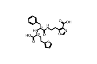 O=C(O)c1ncoc1CCNC(=O)[C@H](Cc1ccccc1)N[C@@H](CCc1cccs1)C(=O)O